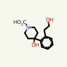 O=C(O)N1CCC(O)(c2ccccc2CCO)CC1